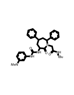 CNc1cccc(NC(=O)NC2CC(c3ccccc3)CC(c3ccccc3)N(CC(=O)NC(C)(C)C)C2=O)c1